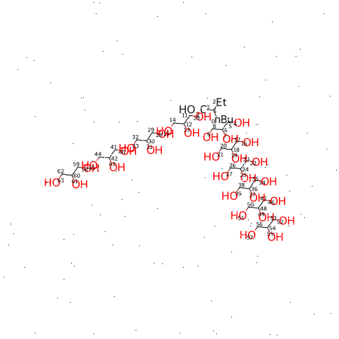 CCCCC(CC)C(=O)O.OCC(O)CO.OCC(O)CO.OCC(O)CO.OCC(O)CO.OCC(O)CO.OCC(O)CO.OCC(O)CO.OCC(O)CO.OCC(O)CO.OCC(O)CO